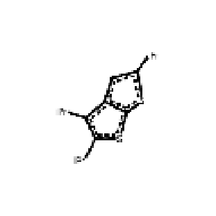 CC(C)c1cc2c(C(C)C)c(C(C)C)sc2s1